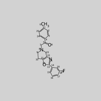 Cc1ccc(C(=O)CN2CCc3oc(-c4cccc(F)c4)nc3C2)cc1